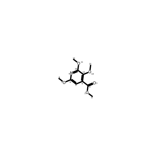 COC(=O)c1cc(OC)nc(OC)c1OC